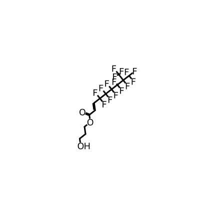 O=C(C=CC(F)(F)C(F)(F)C(F)(F)C(F)(F)C(F)(C(F)(F)F)C(F)(F)F)OCCCO